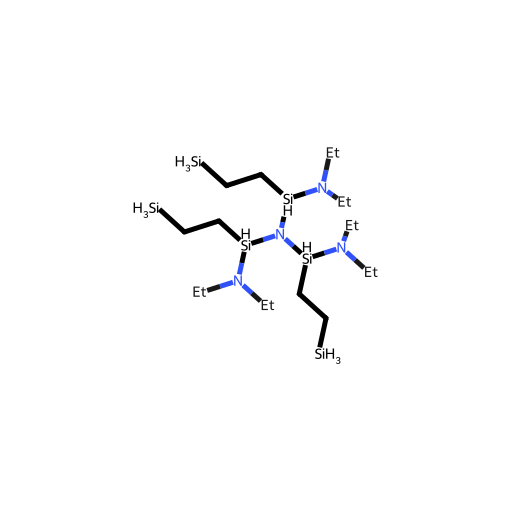 CCN(CC)[SiH](CC[SiH3])N([SiH](CC[SiH3])N(CC)CC)[SiH](CC[SiH3])N(CC)CC